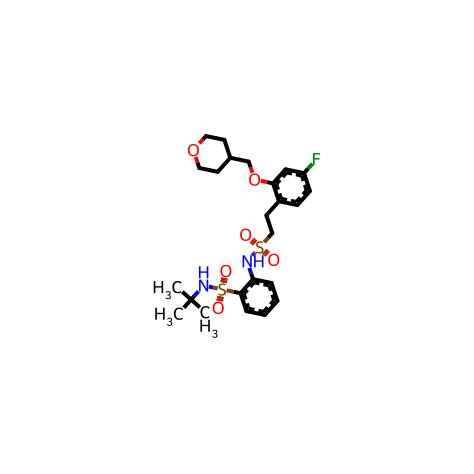 CC(C)(C)NS(=O)(=O)c1ccccc1NS(=O)(=O)CCc1ccc(F)cc1OCC1CCOCC1